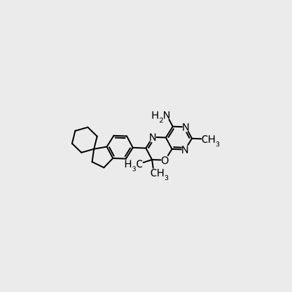 Cc1nc(N)c2c(n1)OC(C)(C)C(c1ccc3c(c1)CCC31CCCCC1)=N2